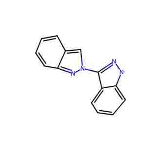 c1ccc2c(c1)[N]N=C2n1cc2ccccc2n1